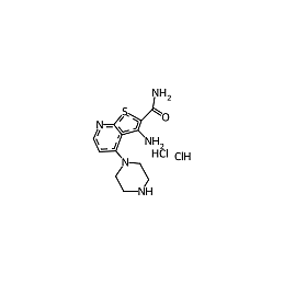 Cl.Cl.NC(=O)c1sc2nccc(N3CCNCC3)c2c1N